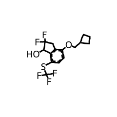 OC1c2c(SC(F)(F)F)ccc(OCC3CCC3)c2CC1(F)F